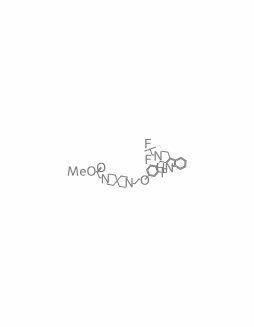 COC(=O)CN1CCC2(CCN(CCOc3cc(F)c([C@@H]4c5[nH]c6ccccc6c5C[C@@H](C)N4CC(C)(C)F)c(F)c3)CC2)CC1